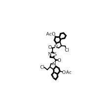 CC(=O)Oc1cc2c(c3ccccc13)C(CCl)CN2C(=O)c1cnc(C(=O)N2CC(CCl)c3c2cc(OC(C)=O)c2ccccc32)s1